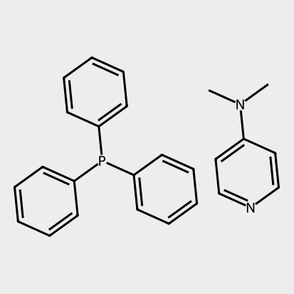 CN(C)c1ccncc1.c1ccc(P(c2ccccc2)c2ccccc2)cc1